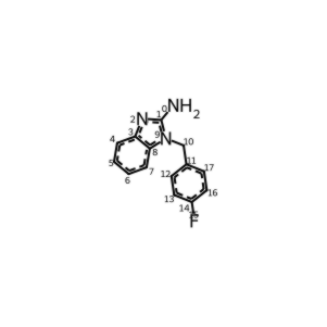 Nc1nc2ccccc2n1Cc1ccc(F)cc1